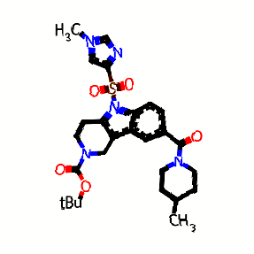 CC1CCN(C(=O)c2ccc3c(c2)c2c(n3S(=O)(=O)c3cn(C)cn3)CCN(C(=O)OC(C)(C)C)C2)CC1